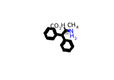 C.N[C@H](C(=O)O)C(c1ccccc1)c1ccccc1